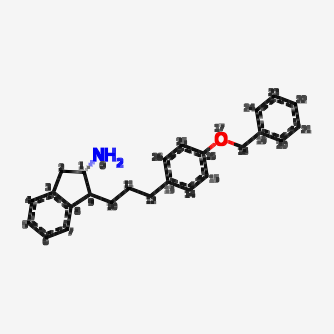 N[C@H]1Cc2ccccc2C1CCCc1ccc(OCc2ccccc2)cc1